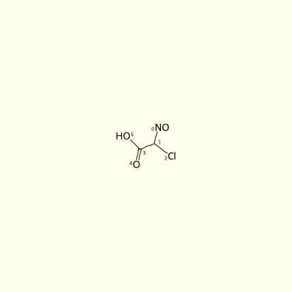 O=NC(Cl)C(=O)O